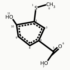 CSc1cc(C(=O)O)ccc1O